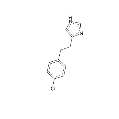 Clc1ccc(CCc2c[nH]cn2)cc1